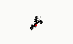 C[C@@H]1COCCN1c1cc(C23CC(NC(=O)N4CCCC4)(C2)C3)c2cnn(-c3cc[nH]n3)c2n1